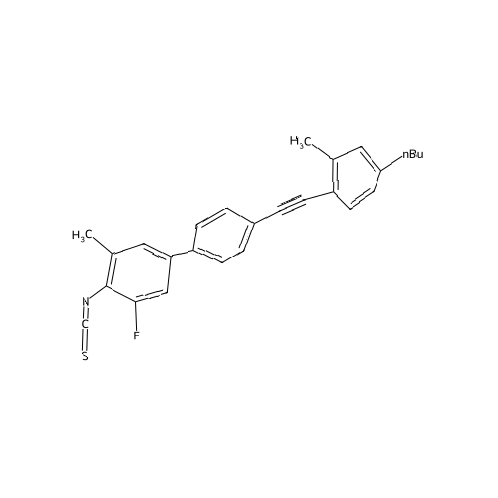 CCCCc1ccc(C#Cc2ccc(-c3cc(C)c(N=C=S)c(F)c3)cc2)c(C)c1